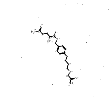 C[C@@H](OCc1ccc(CCCCOCC(N)=O)cc1)[C@@H](N)CCC(N)=O